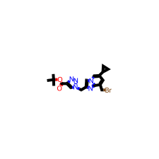 CC(C)(C)OC(=O)c1cn(Cc2cn3cc(C4CC4)cc(CBr)c3n2)nn1